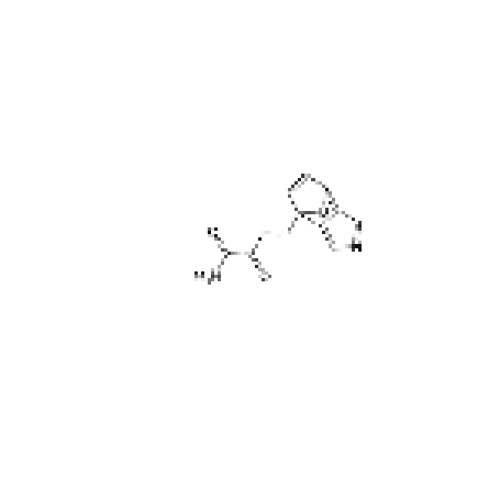 NC(=O)C(=O)CCC12C=CC(=C3C=NC=C31)O2